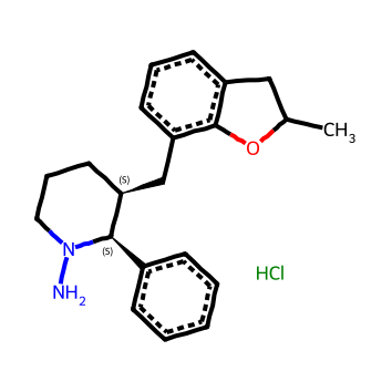 CC1Cc2cccc(C[C@@H]3CCCN(N)[C@@H]3c3ccccc3)c2O1.Cl